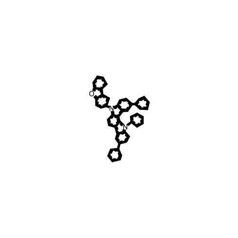 c1ccc(-c2ccc3c(c2)c2c(ccc4c5cc(-c6ccccc6)ccc5n(-c5ccccc5)c42)n3-c2ccc3oc4ccccc4c3c2)cc1